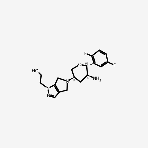 N[C@H]1C[C@@H](N2Cc3cnn(CCO)c3C2)CO[C@@H]1c1cc(F)ccc1F